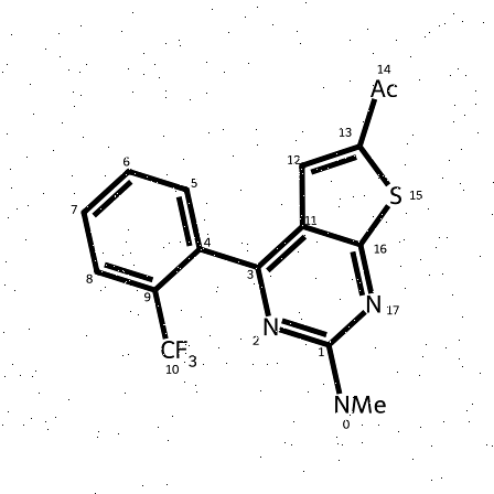 CNc1nc(-c2ccccc2C(F)(F)F)c2cc(C(C)=O)sc2n1